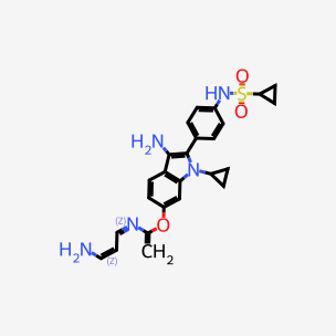 C=C(/N=C\C=C/N)Oc1ccc2c(N)c(-c3ccc(NS(=O)(=O)C4CC4)cc3)n(C3CC3)c2c1